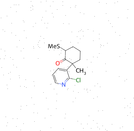 CSC1CCCC(C)(c2cccnc2Cl)C1=O